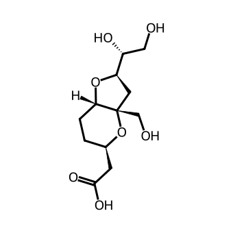 O=C(O)C[C@H]1CC[C@@H]2O[C@@H]([C@H](O)CO)C[C@]2(CO)O1